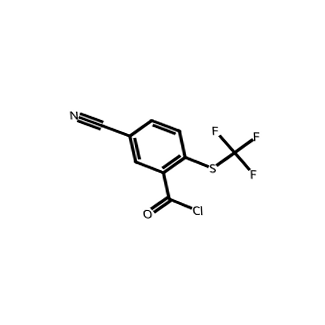 N#Cc1ccc(SC(F)(F)F)c(C(=O)Cl)c1